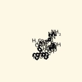 CC(C)(CNC(=O)c1ccc(C2=c3cc4c5c(c3Oc3c2cc2c6c3CCCN6CCC2)CCC[N+]=5CCC4)c(C(=O)O)c1)SSCOC1C[C@H](n2cnc3c(N)ncnc32)O[C@@H]1COP(=O)(O)OP(=O)(O)OP(=O)(O)O